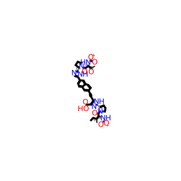 CC[C@H](C)[C@H](NC(=O)OC)C(=O)N1CCC[C@H]1c1nc(C(=O)O)c(C#Cc2ccc3cc(-c4cnc([C@@H]5CCCN5C(=O)[C@@H](NC(=O)OC)[C@@H](C)OC)[nH]4)ccc3c2)[nH]1